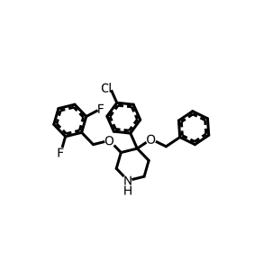 Fc1cccc(F)c1COC1CNCCC1(OCc1ccccc1)c1ccc(Cl)cc1